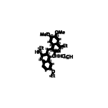 CCNc1nc2ccc(OCC)cc2cc1Cc1c(O)nc(CC)c2cc(OC)c(OC)cc12.Cl.Cl